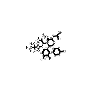 CC(C)[C@H](CS(=O)(=O)C(C)(C)C)N1C(=O)[C@@H](CC(=O)O)O[C@H](c2cccc(Cl)c2)[C@H]1c1ccc(Cl)c(F)c1